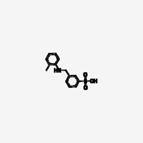 Cc1ccccc1NCc1cccc(S(=O)(=O)O)c1